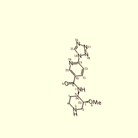 CO[C@H]1CNCC[C@H]1NC(=O)c1ccc(-n2cnnn2)nc1